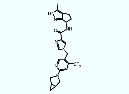 Cc1[nH]nc2c1CC[C@H]2NC(=O)c1cn(Cc2cnc(N3CC4CC4C3)cc2C(F)(F)F)cn1